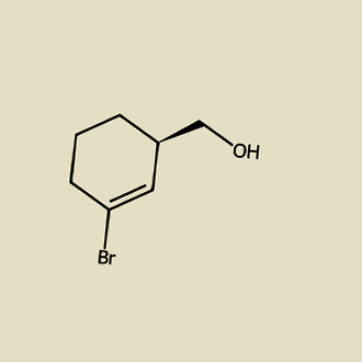 OC[C@H]1C=C(Br)CCC1